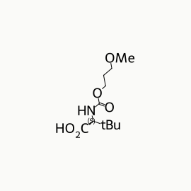 COCCCOC(=O)N[C@H](C(=O)O)C(C)(C)C